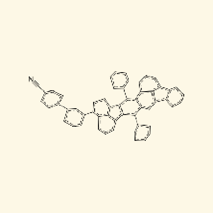 N#Cc1ccc(-c2cccc(-c3ccc4c5c(-c6ccccc6)c6c(cc7c8ccccc8c8cccc6c87)c(-c6ccccc6)c5c5cccc3c54)c2)cc1